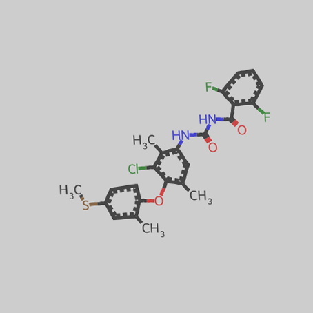 CSc1ccc(Oc2c(C)cc(NC(=O)NC(=O)c3c(F)cccc3F)c(C)c2Cl)c(C)c1